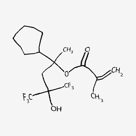 C=C(C)C(=O)OC(C)(CC(O)(C(F)(F)F)C(F)(F)F)C1CCCC1